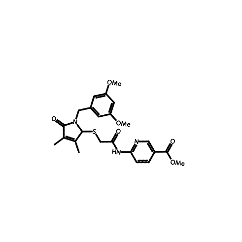 COC(=O)c1ccc(NC(=O)CSC2C(C)=C(C)C(=O)N2Cc2cc(OC)cc(OC)c2)nc1